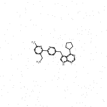 NCc1ccc(C(F)(F)F)nc1-c1ccc(Cc2c[nH]c3ncnc(C4CCCC4)c23)cn1